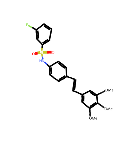 COc1cc(C=Cc2ccc(NS(=O)(=O)c3cccc(F)c3)cc2)cc(OC)c1OC